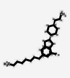 CCCCCCCCc1cc(F)c2c(c1)CC([C@H]1CC[C@H](CCC)CC1)C2